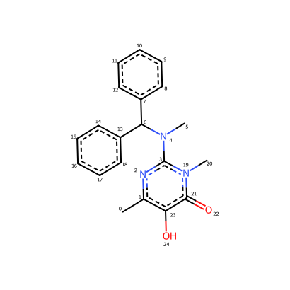 Cc1nc(N(C)C(c2ccccc2)c2ccccc2)n(C)c(=O)c1O